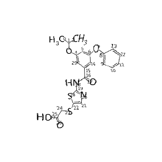 CC(C)Oc1cc(Oc2ccccc2)cc(C(=O)Nc2ncc(SCC(=O)O)s2)c1